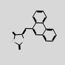 O=C1NC(=S)OC1=Cc1cc2ccccc2c2ccccc12